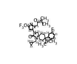 CN(C)C(=O)Cn1nc(C(F)(F)F)cc1N1CC2(CCC(c3cccc(F)c3)(N(C)C)CC2)N(CC2CC2)C1=O